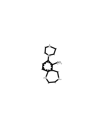 O=[N+]([O-])c1c(N2CCOCC2)ccc2c1CSCCO2